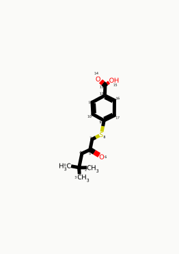 CC(C)(C)CC(=O)CSc1ccc(C(=O)O)cc1